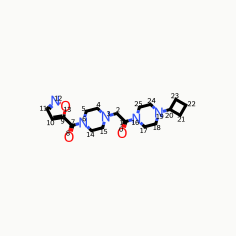 O=C(CN1CCN(C(=O)c2ccno2)CC1)N1CCN(C2CCC2)CC1